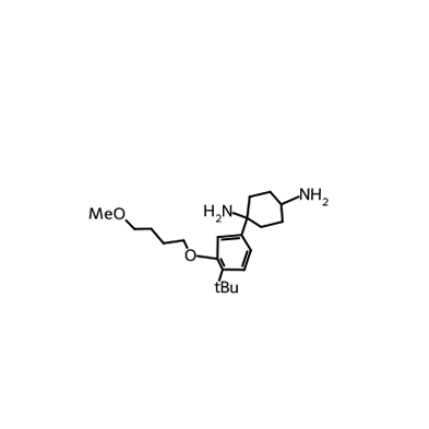 COCCCCOc1cc(C2(N)CCC(N)CC2)ccc1C(C)(C)C